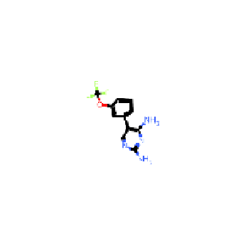 Nc1ncc(-c2cccc(OC(F)(F)F)c2)c(N)n1